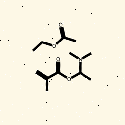 C=C(C)C(=O)OC(C)N(C)C.CCOC(C)=O